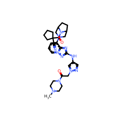 CN1CCN(C(=O)Cn2cc(Nc3nc4c(N5CC6CCC(C5)N6C(=O)C5(C#N)CCCC5)cccn4n3)cn2)CC1